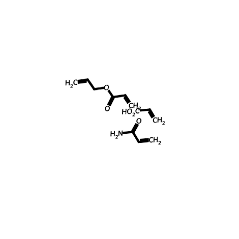 C=CC(=O)O.C=CC(N)=O.C=CCOC(=O)C=C